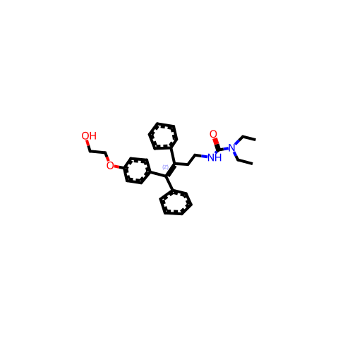 CCN(CC)C(=O)NCC/C(=C(\c1ccccc1)c1ccc(OCCO)cc1)c1ccccc1